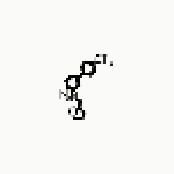 FC(F)(F)c1ccc(-c2ccc3ncn(CC4CCCO4)c3c2)cc1